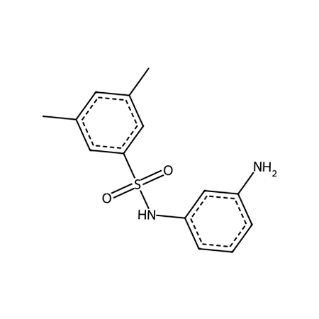 Cc1cc(C)cc(S(=O)(=O)Nc2cccc(N)c2)c1